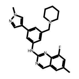 Cc1cc(F)c2nc(Nc3cc(CN4CCCCC4)cc(-c4cnn(C)c4)c3)ncc2c1